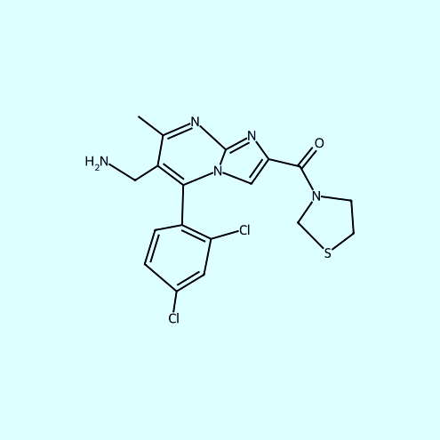 Cc1nc2nc(C(=O)N3CCSC3)cn2c(-c2ccc(Cl)cc2Cl)c1CN